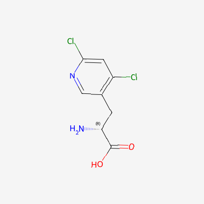 N[C@H](Cc1cnc(Cl)cc1Cl)C(=O)O